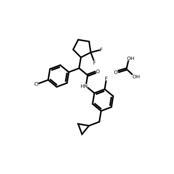 O=C(Nc1cc(CC2CC2)ccc1F)C(c1ccc(Cl)cc1)C1CCCC1(F)F.O=C(O)O